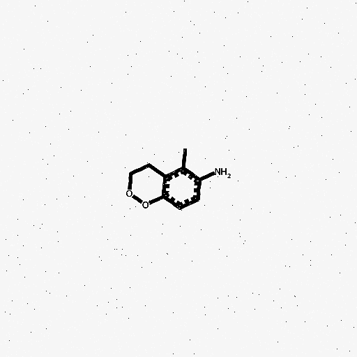 Cc1c(N)ccc2c1CCOO2